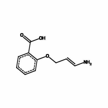 NC=CCOc1ccccc1C(=O)O